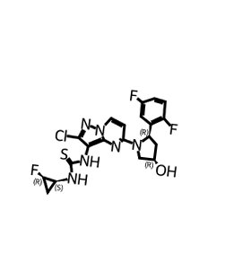 O[C@@H]1C[C@H](c2cc(F)ccc2F)N(c2ccn3nc(Cl)c(NC(=S)N[C@H]4C[C@H]4F)c3n2)C1